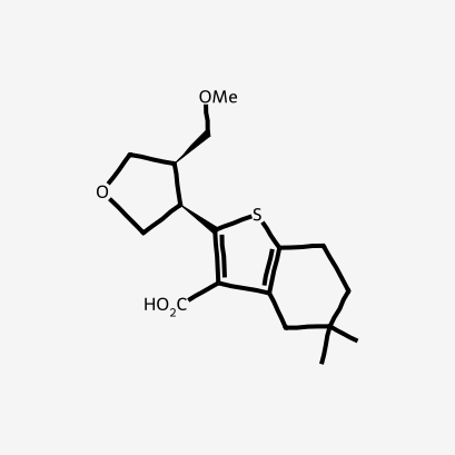 COC[C@@H]1COC[C@@H]1c1sc2c(c1C(=O)O)CC(C)(C)CC2